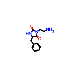 NCCN1C(=O)NC(Cc2ccccc2)C1=O